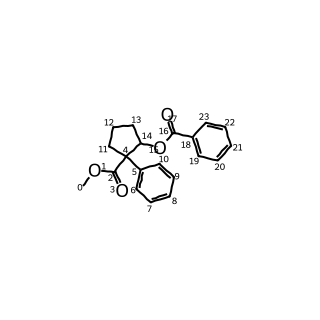 COC(=O)C1(c2ccccc2)CCCC1OC(=O)c1ccccc1